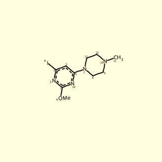 COc1nc(I)cc(N2CCN(C)CC2)n1